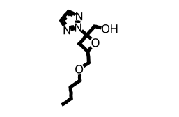 CCCCOCC1CC(CO)(n2nccn2)O1